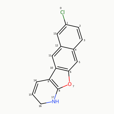 Clc1ccc2cc3oc4c(c3cc2c1)C=CCN4